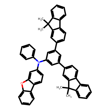 CC1(C)c2ccccc2-c2ccc(-c3cc(-c4ccc5c(c4)C(C)(C)c4ccccc4-5)cc(N(c4ccccc4)c4ccc5c(c4)oc4ccccc45)c3)cc21